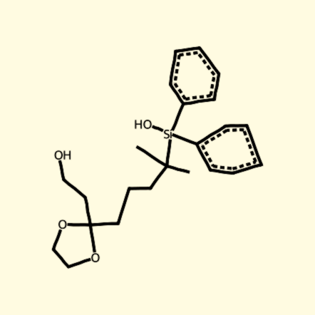 CC(C)(CCCC1(CCO)OCCO1)[Si](O)(c1ccccc1)c1ccccc1